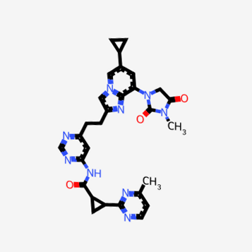 Cc1ccnc(C2CC2C(=O)Nc2cc(CCc3cn4cc(C5CC5)cc(N5CC(=O)N(C)C5=O)c4n3)ncn2)n1